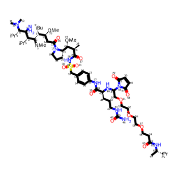 CC[C@@H](C)[C@@H](C(NC)[C@H](C(C)C)C(N)[C@H](C(C)C)N(C)C)[C@@H](CC(=O)N1CCC[C@H]1[C@H](OC)[C@@H](C)C(=O)NS(=O)(=O)Cc1ccc(NC(=O)[C@H](CCCNC(N)=O)NC(COCCOCCOCCC(=O)N[C@@H](C)C(C)C)N2C(=O)C=CC2=O)cc1)OC